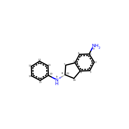 Nc1ccc2c(c1)C[C@@H](Nc1ccccc1)C2